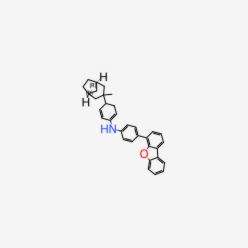 CC1(C2C=CC(Nc3ccc(-c4cccc5c4oc4ccccc45)cc3)=CC2)C[C@@H]2CC[C@H](C2)C1